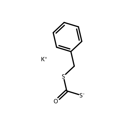 O=C([S-])SCc1ccccc1.[K+]